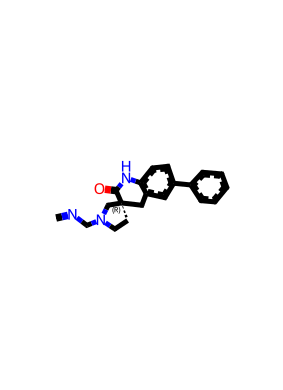 C=NCN1CC[C@]2(Cc3cc(-c4ccccc4)ccc3NC2=O)C1